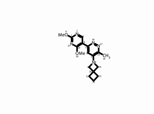 COc1ncc(-c2cc(N3CC4(CCC4)C3)c(C)nn2)c(OC)n1